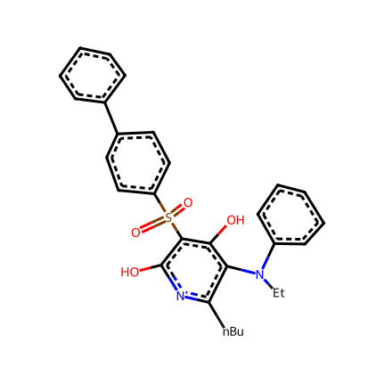 CCCCc1nc(O)c(S(=O)(=O)c2ccc(-c3ccccc3)cc2)c(O)c1N(CC)c1ccccc1